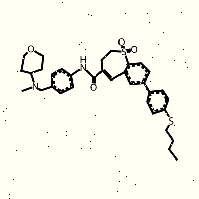 CCCCSc1ccc(-c2ccc3c(c2)C=C(C(=O)Nc2ccc(CN(C)C4CCOCC4)cc2)CCS3(=O)=O)cc1